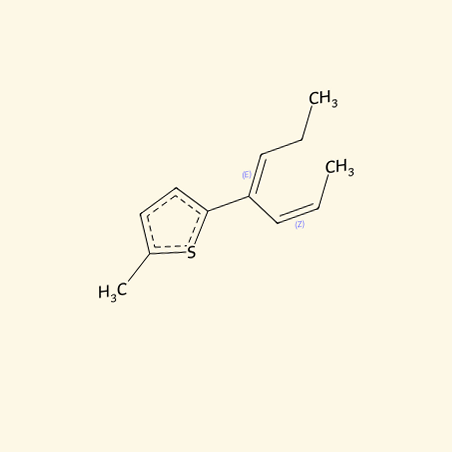 C/C=C\C(=C/CC)c1ccc(C)s1